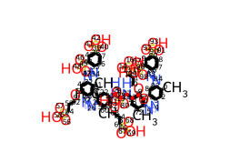 Cc1cc(/N=N\c2cc(OCCCS(=O)(=O)O)c(NCNc3cc(C)c(/N=N\c4cc(C)c(N=Nc5ccc(S(=O)(=O)O)cc5S(=O)(=O)O)cc4OCCCS(=O)(=O)O)c(C)c3OCCCS(=O)(=O)O)cc2C)c(OCCCS(=O)(=O)O)cc1N=Nc1ccc(S(=O)(=O)O)cc1S(=O)(=O)O